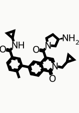 Cc1ccc(C(=O)NC2CC2)cc1-c1ccc2c(=O)n(CC3CC3)cc(C(=O)N3CC[C@@H](N)C3)c2c1